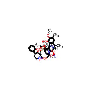 COc1c(C)cc2c(c1O)[C@H]1N[C@@H](C2C)[C@H](C#N)N2[C@H]1[C@@H]1SC[C@]3(NCCc4c3oc3ccccc43)C(=O)OC[C@H]2c2c3c(c(C)c(OC(C)=O)c21)OCO3